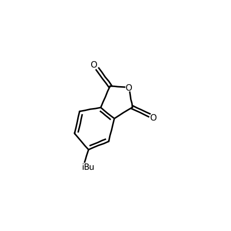 CCC(C)c1ccc2c(c1)C(=O)OC2=O